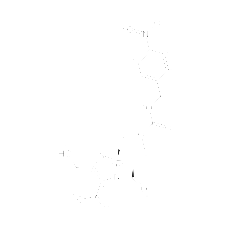 C[C@@H](OC(=O)OCc1ccc([N+](=O)[O-])cc1)[C@H]1C(=O)N2C(C(=O)O)=C(CO)S[C@H]12